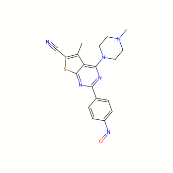 Cc1c(C#N)sc2nc(-c3ccc(N=O)cc3)nc(N3CCN(C)CC3)c12